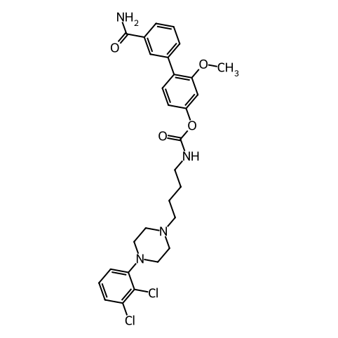 COc1cc(OC(=O)NCCCCN2CCN(c3cccc(Cl)c3Cl)CC2)ccc1-c1cccc(C(N)=O)c1